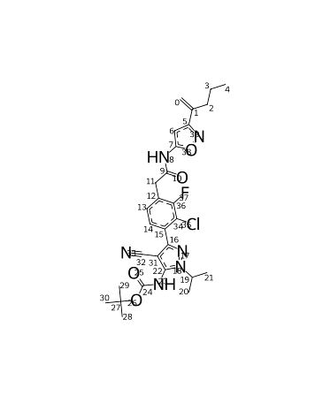 C=C(CCC)c1cc(NC(=O)Cc2ccc(-c3nn(C(C)C)c(NC(=O)OC(C)(C)C)c3C#N)c(Cl)c2F)on1